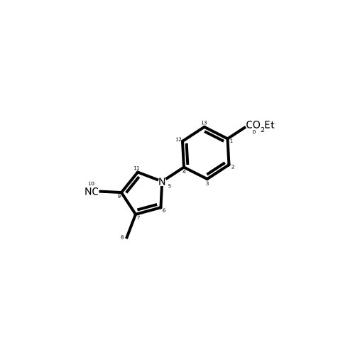 CCOC(=O)c1ccc(-n2cc(C)c(C#N)c2)cc1